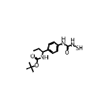 CCC(NC(=O)OC(C)(C)C)c1ccc(NC(=O)NS)cc1